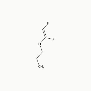 CCCOC(F)=CF